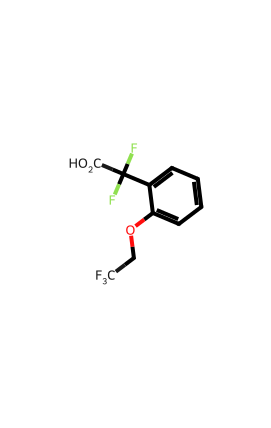 O=C(O)C(F)(F)c1ccccc1OCC(F)(F)F